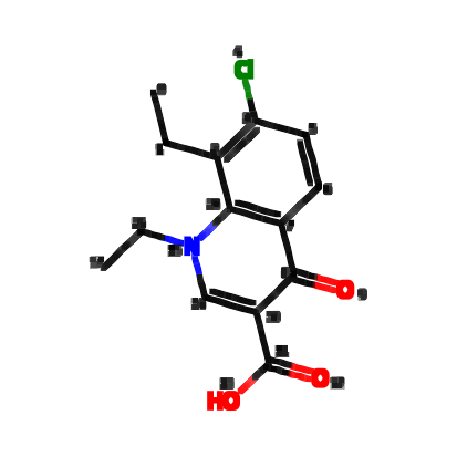 CCc1c(Cl)ccc2c(=O)c(C(=O)O)cn(CC)c12